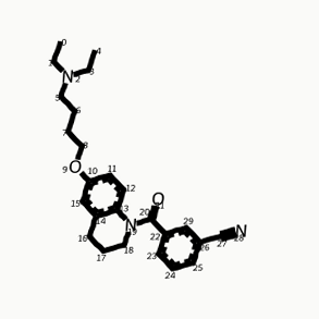 CCN(CC)CCCCOc1ccc2c(c1)CCCN2C(=O)c1cccc(C#N)c1